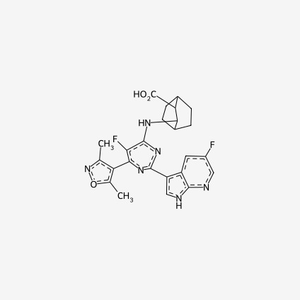 Cc1noc(C)c1-c1nc(-c2c[nH]c3ncc(F)cc23)nc(NC2C3CCC(CC3)C2C(=O)O)c1F